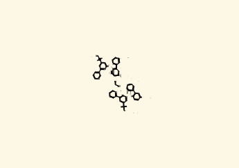 C[C@H](C[C@H](C)Oc1ccc(F)cc1-c1cc(C(C)(C)CC(C)(C)C)cc(-n2c3ccc(C(C)(C)C)cc3c3cc(C(C)(C)C)ccc32)c1O)OC1(C(C)(C)C)C=Cc2c(c3cc(C(C)(C)C)ccc3n2-c2cc(C(C)(C)CC(C)(C)C)cc(-c3cccc(F)c3)c2O)C1